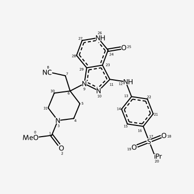 COC(=O)N1CCC(CC#N)(n2nc(Nc3ccc(S(=O)(=O)C(C)C)cc3)c3c(=O)[nH]ccc32)CC1